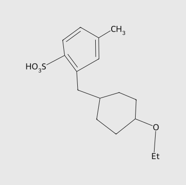 CCOC1CCC(Cc2cc(C)ccc2S(=O)(=O)O)CC1